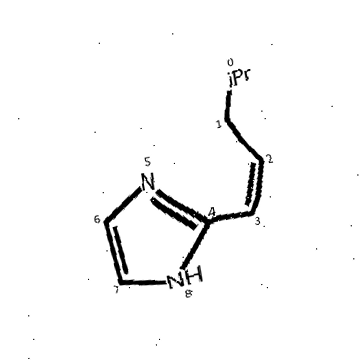 CC(C)C/C=C\c1ncc[nH]1